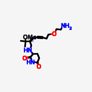 COC(C)(C)/C(=C/C#CCCOCCN)CNC1CCC(=O)NC1=O